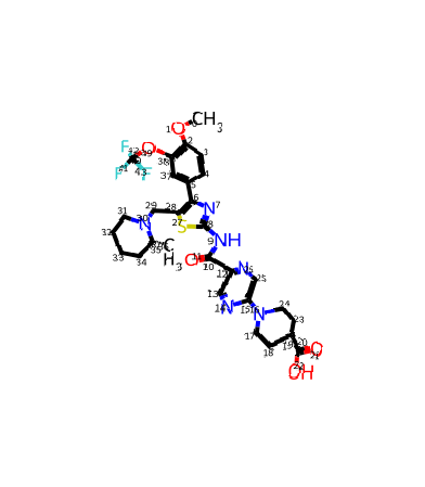 COc1ccc(-c2nc(NC(=O)c3cnc(N4CCC(C(=O)O)CC4)cn3)sc2CN2CCCC[C@H]2C)cc1OC(F)(F)F